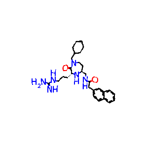 N=C(N)NCCC[C@H]1N[C@H](CNC(=O)Cc2ccc3ccccc3c2)CCN(CC2CCCCC2)C1=O